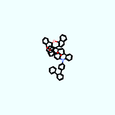 c1ccc(-c2ccc(N(c3ccc(-c4ccccc4-c4ccccc4)cc3)c3ccccc3-c3ccc4c(c3)-c3ccccc3C43c4ccc5ccccc5c4Oc4c3ccc3ccccc43)cc2)cc1